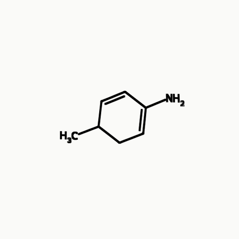 CC1C=CC(N)=CC1